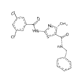 Cc1nc(NC(=O)c2cc(Cl)cc(Cl)c2)sc1C(=O)NCc1ccccc1